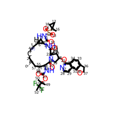 C[C@@H]1CC/C=C\[C@@H]2C[C@@]2(C(=O)NS(=O)(=O)C2(C)CC2)NC(=O)[C@@H]2C[C@@H](Oc3nccc4c5c(ccc34)CCO5)CN2C(=O)[C@@H](NC(=O)OC(C)(C)C(C)(F)F)[C@H](C)C1